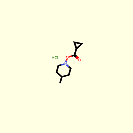 CC1CCN(OC(=O)C2CC2)CC1.Cl